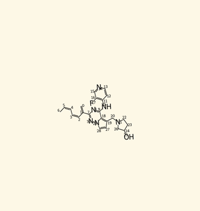 C=C(/C=C\C=C/C)c1nc(Nc2ccncc2F)c2c(CN3CCC(O)C3)ccn2n1